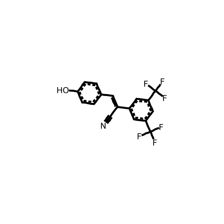 N#CC(=Cc1ccc(O)cc1)c1cc(C(F)(F)F)cc(C(F)(F)F)c1